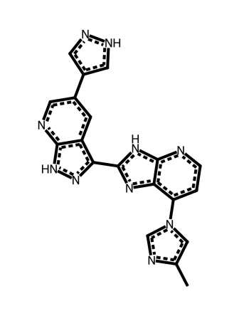 Cc1cn(-c2ccnc3[nH]c(-c4n[nH]c5ncc(-c6cn[nH]c6)cc45)nc23)cn1